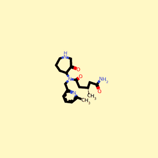 Cc1cccc(CN(C(=O)C[C@@H](C)CC(N)=O)C2CCCNCC2=O)n1